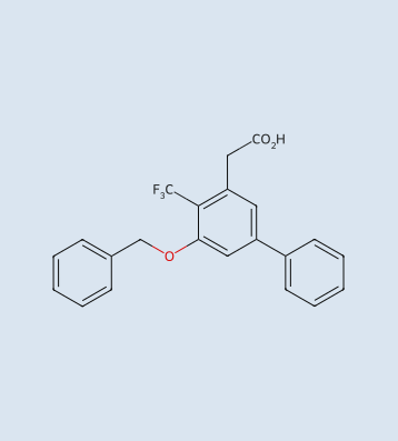 O=C(O)Cc1cc(-c2ccccc2)cc(OCc2ccccc2)c1C(F)(F)F